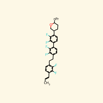 C/C=C/c1ccc(CCc2ccc(-c3ccc(C4CCC(CCC)OC4)c(F)c3F)c(F)c2F)c(F)c1F